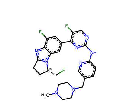 CN1CCN(Cc2ccc(Nc3ncc(F)c(-c4cc(F)c5nc6n(c5c4)[C@H](CF)CC6)n3)nc2)CC1